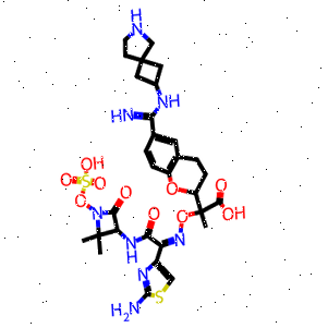 CC(ON=C(C(=O)NC1C(=O)N(OS(=O)(=O)O)C1(C)C)c1csc(N)n1)(C(=O)O)C1CCc2cc(C(=N)NC3CC4(CCNC4)C3)ccc2O1